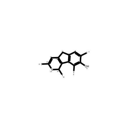 Oc1c(I)cc2c(c1I)C1=C(C=C(I)SC1I)C2